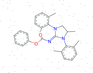 Cc1cccc(C)c1N1CC(C)N(c2c(C)cccc2C)C1=NC(=O)Oc1ccccc1